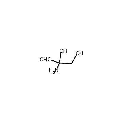 NC(O)(C=O)CO